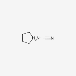 C1CCCC1.N#CN